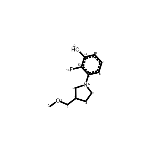 COCC1CCN(c2cccc(O)c2F)C1